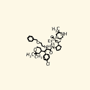 CCS(=O)(=O)N1C[C@@H](C)NC[C@@H]1CC[C@H]1CCC[C@@H]1NC(=O)[C@@H](NCCOCc1ccccc1)[C@@H](c1ccc(Cl)cc1)C1CCOC(C)(C)C1